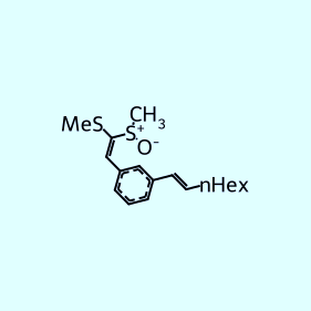 CCCCCCC=Cc1cccc(C=C(SC)[S+](C)[O-])c1